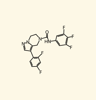 O=C(Nc1cc(F)c(F)c(F)c1)N1CCn2ncc(-c3ccc(F)cc3F)c2C1